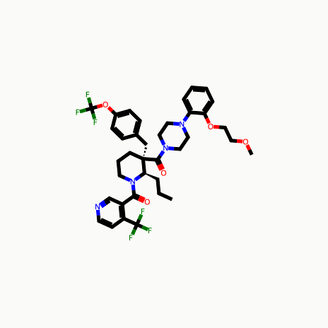 CCC[C@H]1N(C(=O)c2cnccc2C(F)(F)F)CCC[C@@]1(Cc1ccc(OC(F)(F)F)cc1)C(=O)N1CCN(c2ccccc2OCCOC)CC1